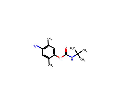 Cc1cc(OC(=O)NC(C)(C)C)c(C)cc1N